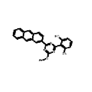 CC(C)Oc1nc(-c2ccc3cc4ccccc4cc3c2)nc(-c2c(O)cccc2O)n1